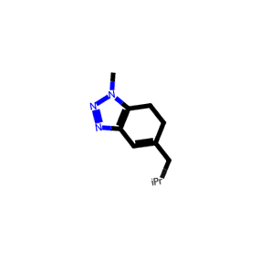 CC(C)CC1=Cc2nnn(C)c2CC1